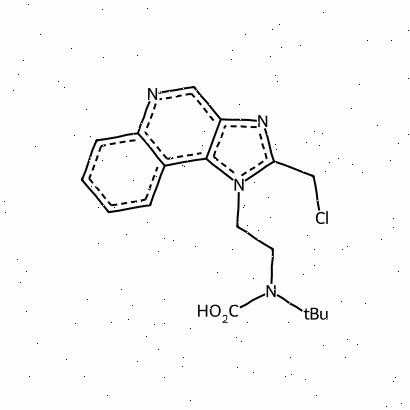 CC(C)(C)N(CCn1c(CCl)nc2cnc3ccccc3c21)C(=O)O